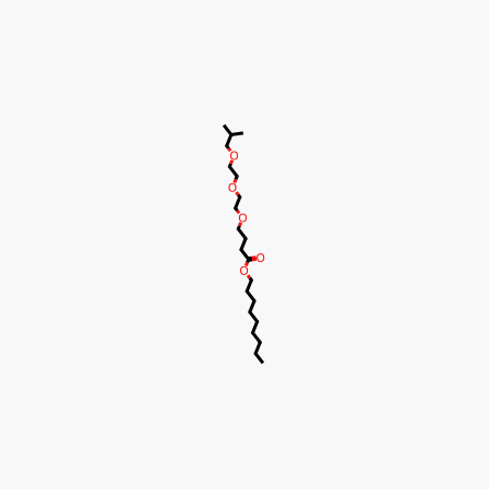 CCCCCCCCCOC(=O)CCCOCCOCCOCC(C)C